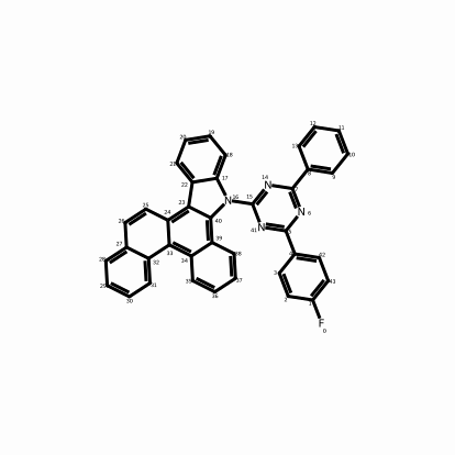 Fc1ccc(-c2nc(-c3ccccc3)nc(-n3c4ccccc4c4c5ccc6ccccc6c5c5ccccc5c43)n2)cc1